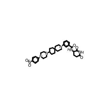 O=C1CCC(NC(=O)c2cccc(N3CCC4(CCC(N5CCN(c6ccc([N+](=O)[O-])cc6)CC5)CC4)CC3)c2)C(=O)N1